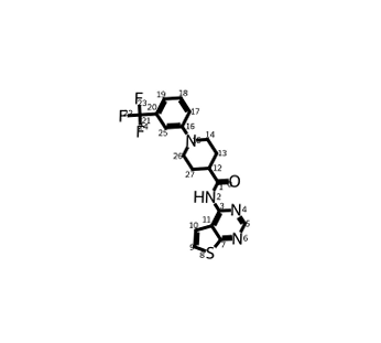 O=C(Nc1ncnc2sccc12)C1CCN(c2cccc(C(F)(F)F)c2)CC1